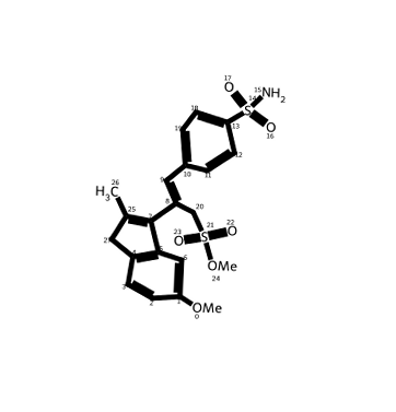 COc1ccc2c(c1)C(C(=Cc1ccc(S(N)(=O)=O)cc1)CS(=O)(=O)OC)=C(C)C2